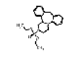 CCOP(=O)(OCC)N1CCN2c3ccccc3Cc3ccccc3C2C1